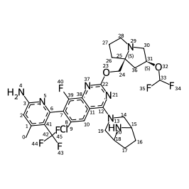 Cc1cc(N)nc(-c2c(Cl)cc3c(N4CC5CCC(C4)N5)nc(OC[C@@]45CCCN4C[C@@H](OC(F)F)C5)nc3c2F)c1C(F)(F)F